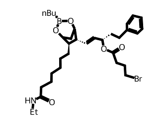 CCCCB1OC2CC(O1)[C@H](CCCCCCC(=O)NCC)[C@H]2/C=C/[C@H](CCc1ccccc1)OC(=O)CCCBr